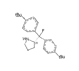 CC(C)(C)c1ccc(C(F)(c2ccc(C(C)(C)C)cc2)[C@@H]2CCCN2)cc1